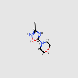 Cc1noc(N2CCOCC2)n1